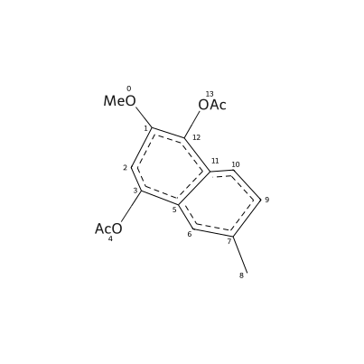 COc1cc(OC(C)=O)c2cc(C)ccc2c1OC(C)=O